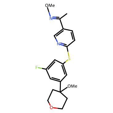 CON=C(C)c1ccc(Sc2cc(F)cc(C3(OC)CCOCC3)c2)nc1